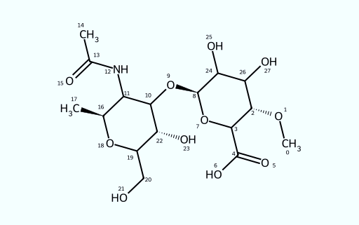 CO[C@@H]1C(C(=O)O)O[C@@H](OC2C(NC(C)=O)[C@H](C)OC(CO)[C@H]2O)C(O)C1O